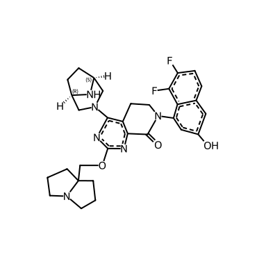 O=C1c2nc(OCC34CCCN3CCC4)nc(N3C[C@H]4CC[C@@H](C3)N4)c2CCN1c1cc(O)cc2ccc(F)c(F)c12